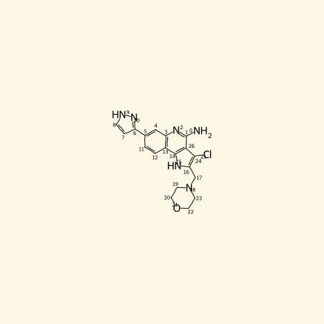 Nc1nc2cc(-c3cc[nH]n3)ccc2c2[nH]c(CN3CCOCC3)c(Cl)c12